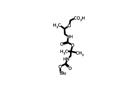 CC(CNC(=O)OC(C)(C)CNC(=O)OC(C)(C)C)OCC(=O)O